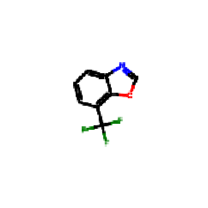 FC(F)(F)c1cccc2ncoc12